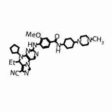 CCC1c2c(C#N)ncn2-c2cnc(Nc3ccc(C(=O)NC4CCC(N5CCN(C)CC5)CC4)cc3OC)nc2N1C1CCCC1